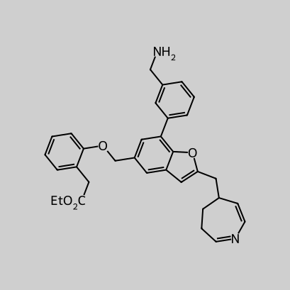 CCOC(=O)Cc1ccccc1OCc1cc(-c2cccc(CN)c2)c2oc(CC3C=CN=CCC3)cc2c1